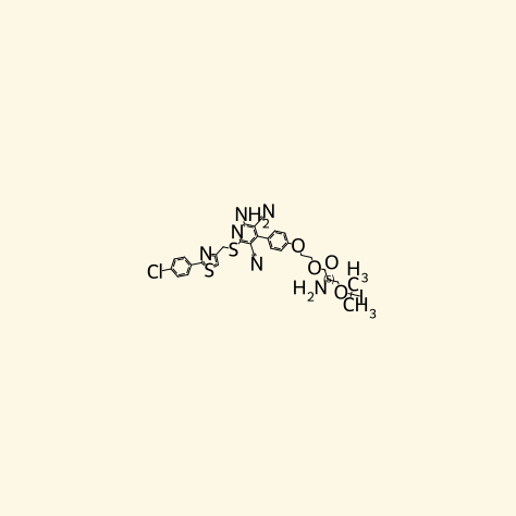 CC(C)(I)OC[C@H](N)C(=O)OCCOc1ccc(-c2c(C#N)c(N)nc(SCc3csc(-c4ccc(Cl)cc4)n3)c2C#N)cc1